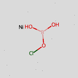 OB(O)OCl.[Ni]